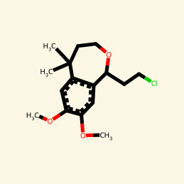 COc1cc2c(cc1OC)C(C)(C)CCOC2CCCl